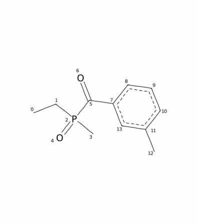 CCP(C)(=O)C(=O)c1cccc(C)c1